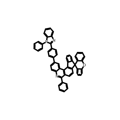 c1ccc(-c2nc3ccc(-c4ccc(-c5nc6ccccc6n5-c5ccccc5)cc4)cc3c3c4c(ccc23)C2(c3ccccc3Oc3ccccc32)c2ccccc2-4)cc1